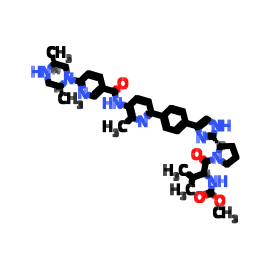 COC(=O)N[C@H](C(=O)N1CCC[C@H]1c1nc(-c2ccc(-c3ccc(NC(=O)c4ccc(N5C[C@H](C)NC[C@H]5C)nc4)c(C)n3)cc2)c[nH]1)C(C)C